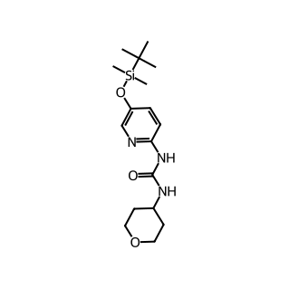 CC(C)(C)[Si](C)(C)Oc1ccc(NC(=O)NC2CCOCC2)nc1